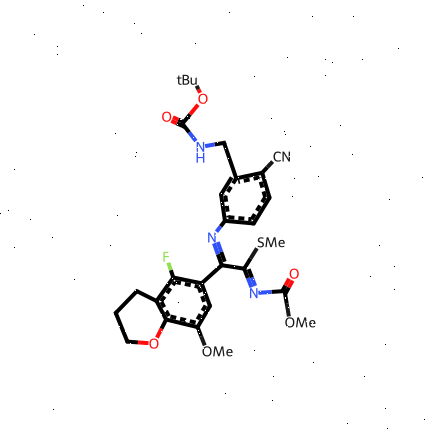 COC(=O)N=C(SC)C(=Nc1ccc(C#N)c(CNC(=O)OC(C)(C)C)c1)c1cc(OC)c2c(c1F)CCCO2